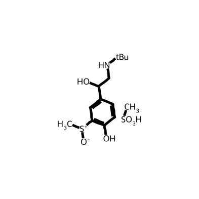 CS(=O)(=O)O.C[S+]([O-])c1cc(C(O)CNC(C)(C)C)ccc1O